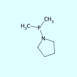 CP(C)N1CCCC1